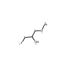 CC(C)OCC(O)CF